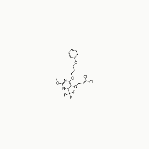 COc1nc(OCCCOc2ccccc2)c(OCC=C(Cl)Cl)c(C(F)(F)F)n1